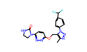 Cc1nnn(-c2ccc(C(F)F)cc2)c1COc1ccc(N2CCNC2=O)nn1